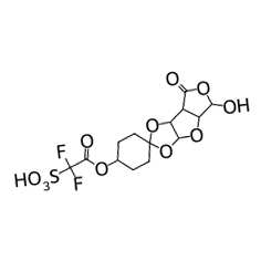 O=C1OC(O)C2OC3OC4(CCC(OC(=O)C(F)(F)S(=O)(=O)O)CC4)OC3C12